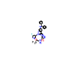 C[C@H]1CNC(=O)c2cnn3cc(-c4ccc(N=C(c5ccccc5)c5ccccc5)cc4)c(nc23)NCc2cc(F)cnc2O1